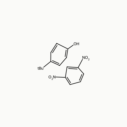 CC(C)(C)c1ccc(O)cc1.O=[N+]([O-])c1cccc([N+](=O)[O-])c1